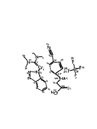 CN(C)C(=[O+]n1nnc2ccccc21)N(C)C.F[B-](F)(F)F.N#Cc1ccc(NCC(=O)O)cc1